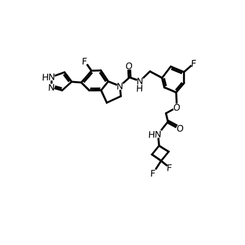 O=C(COc1cc(F)cc(CNC(=O)N2CCc3cc(-c4cn[nH]c4)c(F)cc32)c1)NC1CC(F)(F)C1